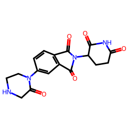 O=C1CCC(N2C(=O)c3ccc(N4CCNCC4=O)cc3C2=O)C(=O)N1